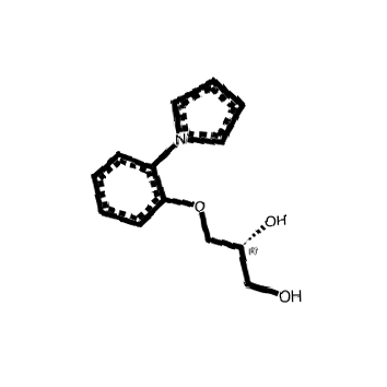 OC[C@@H](O)COc1ccccc1-n1cccc1